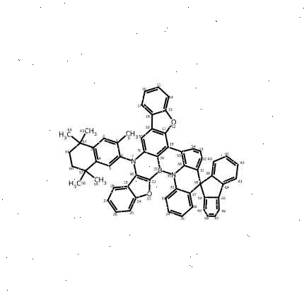 Cc1cc2c(cc1N1c3cc4c(oc5ccccc54)c4c3B(c3oc5ccccc5c31)N1c3ccccc3C3(c5ccccc5-c5ccccc53)c3cccc-4c31)C(C)(C)CCC2(C)C